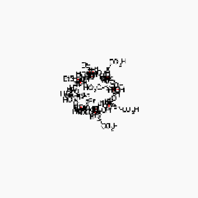 CCCSC[C@H]1O[C@@H]2OC3[C@@H](CSCC)O[C@H](OC4[C@@H](CSCC)O[C@H](OC5[C@@H](CSCC)O[C@H](OC6[C@@H](CSCCC(=O)O)O[C@H](OC7[C@@H](CSCCC(=O)O)O[C@H](OC8[C@@H](CSCCC(=O)O)O[C@H](OC9[C@@H](CSCCC(=O)O)O[C@H](OC1[C@H](O)[C@H]2O)[C@H](O)[C@H]9O)[C@H](O)[C@H]8O)[C@H](O)[C@H]7O)[C@H](O)[C@H]6O)[C@H](O)[C@H]5O)[C@H](O)[C@H]4O)[C@H](O)[C@H]3O